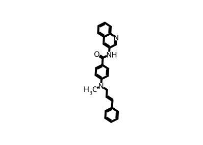 CN(CC=Cc1ccccc1)c1ccc(C(=O)Nc2cnc3ccccc3c2)cc1